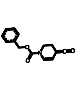 O=C=C1C=CN(C(=O)OCc2ccccc2)CC1